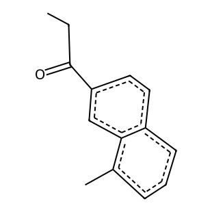 CCC(=O)c1ccc2cccc(C)c2c1